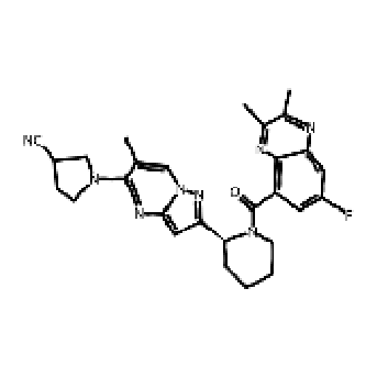 Cc1cn2nc([C@@H]3CCCCN3C(=O)c3cc(F)cc4nc(C)c(C)nc34)cc2nc1N1CCC(C#N)C1